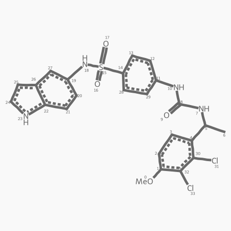 COc1ccc(C(C)NC(=O)Nc2ccc(S(=O)(=O)Nc3ccc4[nH]ccc4c3)cc2)c(Cl)c1Cl